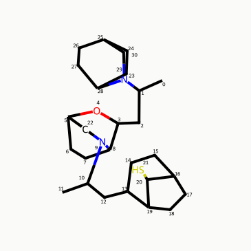 CC(CC1OC2CCC1N(C(C)CC1CCC3CCC1C3S)C2)N1CC2CCC1CC2